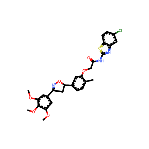 COc1cc(C2=NOC(c3ccc(C)c(OCC(=O)Nc4nc5cc(Cl)ccc5s4)c3)C2)cc(OC)c1OC